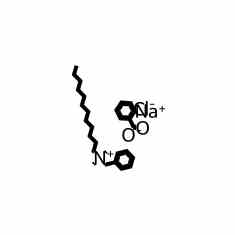 CCCCCCCCCCCC[N+](C)(C)Cc1ccccc1.O=C([O-])c1ccccc1.[Cl-].[Na+]